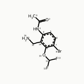 CC(=O)Nc1ccc(Br)c(OC(F)F)c1CN